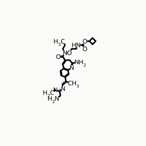 C=N/C(CN)=N\C=C(/C)c1ccc2c(c1)N=C(N)CC(C(=O)N(CCC)OCCNC(=O)OC1CCC1)=C2